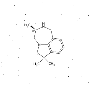 C[C@@H]1CN2CC(C)(C)c3cccc(c32)CN1